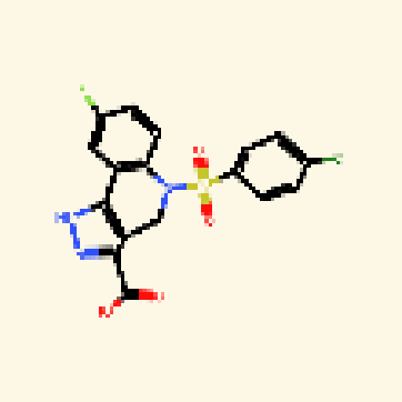 O=C(O)c1n[nH]c2c1CN(S(=O)(=O)c1ccc(Cl)cc1)c1ccc(F)cc1-2